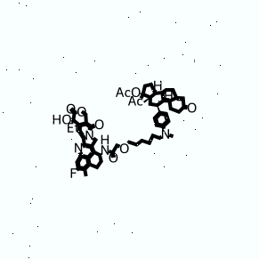 CC[C@@]1(O)C(=O)OCc2c1cc1n(c2=O)Cc2c-1nc1cc(F)c(C)c3c1c2[C@@H](NC(=O)COCCCCCCN(C)c1ccc([C@H]2C[C@@]4(C)[C@@H](CC[C@]4(OC(C)=O)C(C)=O)[C@@H]4CCC5=CC(=O)CCC5=C42)cc1)CC3